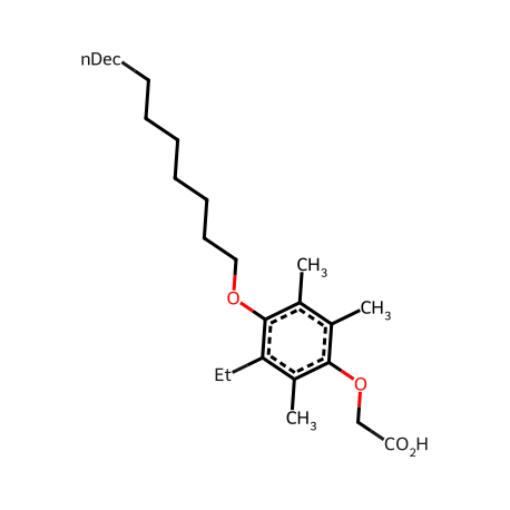 CCCCCCCCCCCCCCCCCOc1c(C)c(C)c(OCC(=O)O)c(C)c1CC